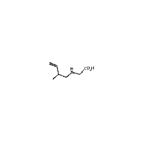 C=CC(C)CNCC(=O)O